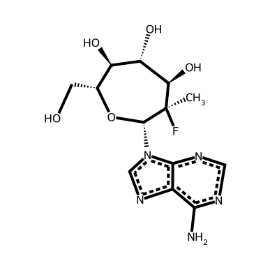 C[C@@]1(F)[C@H](O)[C@@H](O)[C@H](O)[C@@H](CO)O[C@H]1n1cnc2c(N)ncnc21